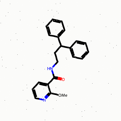 COc1ncccc1C(=O)NCCC(c1ccccc1)c1ccccc1